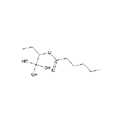 CCCCCC(=O)OC(CC)C(O)(O)O